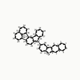 c1ccc2cc3c(cc2c1)sc1ccc(-n2c4ccccc4c4c5c(ccc42)-c2cccc4cccc-5c24)cc13